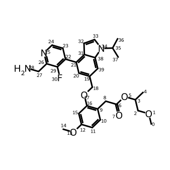 COCC(C)OC(=O)Cc1ccc(OC)cc1OCc1cc(-c2ccnc(CN)c2F)c2ccn(C(C)C)c2c1